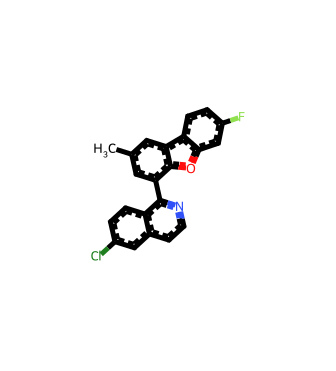 Cc1cc(-c2nccc3cc(Cl)ccc23)c2oc3cc(F)ccc3c2c1